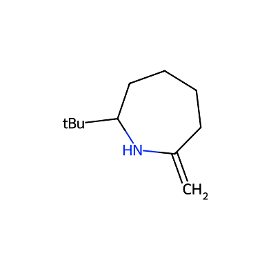 C=C1CCCCC(C(C)(C)C)N1